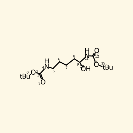 CC(C)(C)OC(=O)NCCCCC(O)NC(=O)OC(C)(C)C